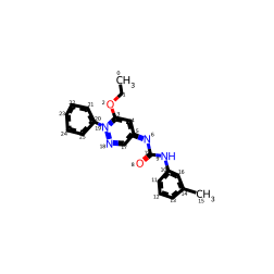 CCOc1cc(=NC(=O)Nc2cccc(C)c2)cnn1-c1ccccc1